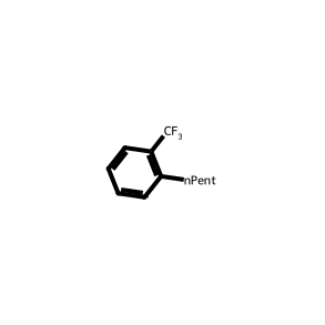 CCCCCc1[c]cccc1C(F)(F)F